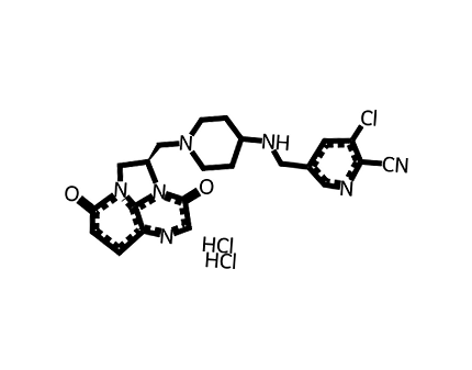 Cl.Cl.N#Cc1ncc(CNC2CCN(C[C@@H]3Cn4c(=O)ccc5ncc(=O)n3c54)CC2)cc1Cl